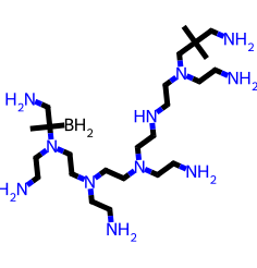 BC(C)(CN)N(CCN)CCN(CCN)CCN(CCN)CCNCCN(CCN)CC(C)(C)CN